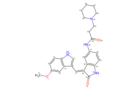 COc1ccc2[nH]cc(/C=C3/C(=O)Nc4ccc(NC(=O)CCN5CCCCC5)cc43)c2c1